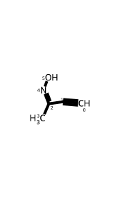 C#CC(C)=NO